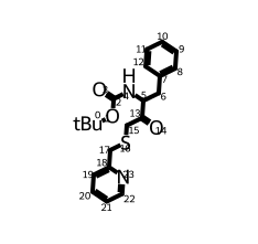 CC(C)(C)OC(=O)NC(Cc1ccccc1)C(=O)CSCc1ccccn1